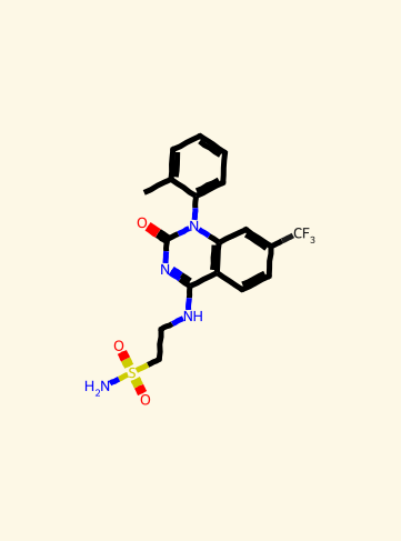 Cc1ccccc1-n1c(=O)nc(NCCS(N)(=O)=O)c2ccc(C(F)(F)F)cc21